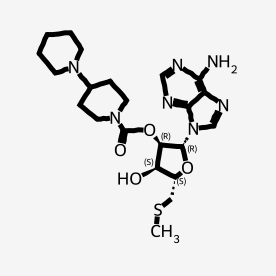 CSC[C@H]1O[C@@H](n2cnc3c(N)ncnc32)[C@H](OC(=O)N2CCC(N3CCCCC3)CC2)[C@@H]1O